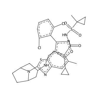 Cc1cc2nc(N3C4CCC3CC(NCc3c(-c5c(Cl)cccc5Cl)noc3C3CC3)C4)sc2cc1C(=O)NS(=O)(=O)C1(C)CC1